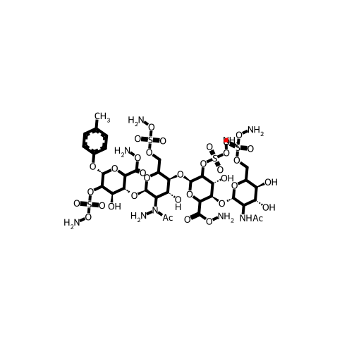 CC(=O)NC1[C@H](O[C@H]2C(C(=O)ON)O[C@@H](O[C@@H]3C(COS(=O)(=O)ON)O[C@H](O[C@H]4C(C(=O)ON)O[C@@H](Oc5ccc(C)cc5)C(OS(=O)(=O)ON)[C@@H]4O)C(N(N)C(C)=O)[C@H]3O)C(OS(=O)(=O)ON)[C@@H]2O)OC(COS(=O)(=O)ON)[C@@H](O)[C@@H]1O